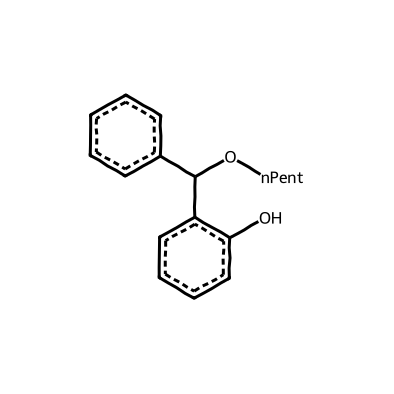 CCCCCOC(c1ccccc1)c1ccccc1O